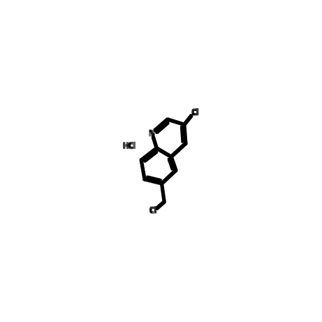 Cl.ClCc1ccc2ncc(Cl)cc2c1